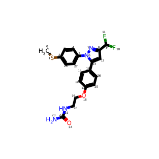 CSc1ccc(-n2nc(C(F)F)cc2-c2ccc(OCCNC(N)=O)cc2)cc1